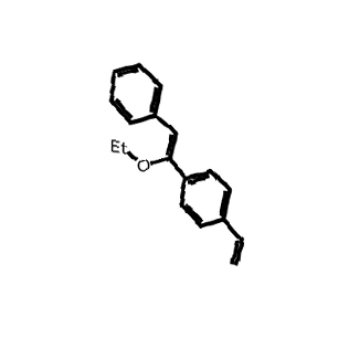 C=Cc1ccc(C(=Cc2ccccc2)OCC)cc1